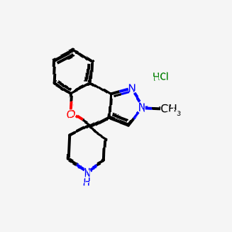 Cl.Cn1cc2c(n1)-c1ccccc1OC21CCNCC1